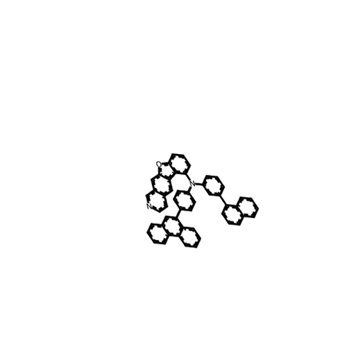 c1cc(-c2cccc3ccccc23)cc(N(c2ccc(-c3cc4ccccc4c4ccccc34)cc2)c2cccc3oc4cc5cnccc5cc4c23)c1